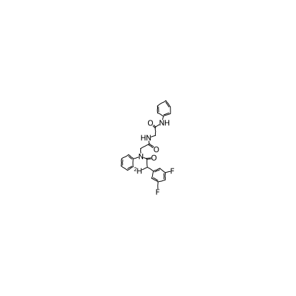 [2H]C(C(=O)N(CC(=O)NCC(=O)Nc1ccccc1)c1ccccc1)c1cc(F)cc(F)c1